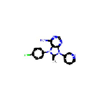 C=C1N(c2cccnc2)c2ncnc(N)c2N1c1ccc(Cl)cc1